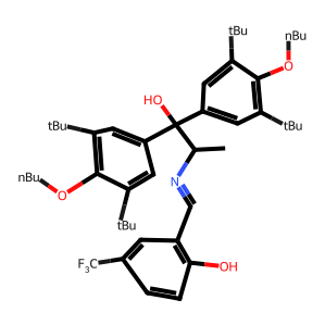 CCCCOc1c(C(C)(C)C)cc(C(O)(c2cc(C(C)(C)C)c(OCCCC)c(C(C)(C)C)c2)C(C)N=Cc2cc(C(F)(F)F)ccc2O)cc1C(C)(C)C